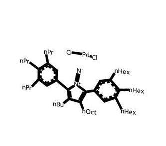 CCCCCCCCC1=C(c2cc(CCCCCC)c(CCCCCC)c(CCCCCC)c2)[N+](=[N-])C(c2cc(CCC)c(CCC)c(CCC)c2)=C1CCCC.[Cl][Pd][Cl]